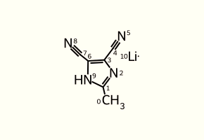 Cc1nc(C#N)c(C#N)[nH]1.[Li]